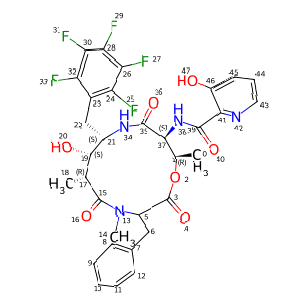 C[C@H]1OC(=O)C(Cc2ccccc2)N(C)C(=O)[C@H](C)[C@H](O)[C@H](Cc2c(F)c(F)c(F)c(F)c2F)NC(=O)[C@H]1NC(=O)c1ncccc1O